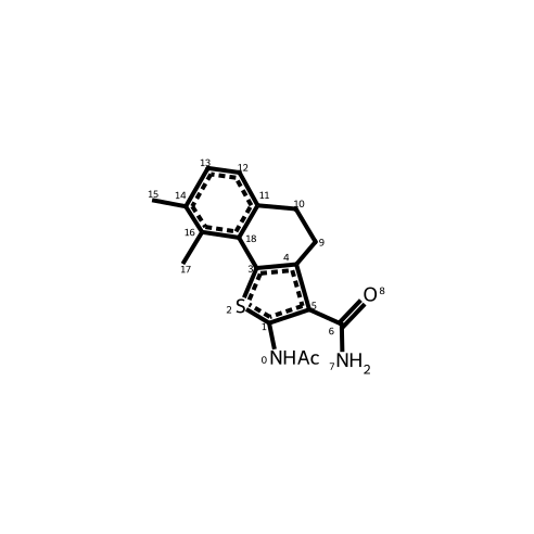 CC(=O)Nc1sc2c(c1C(N)=O)CCc1ccc(C)c(C)c1-2